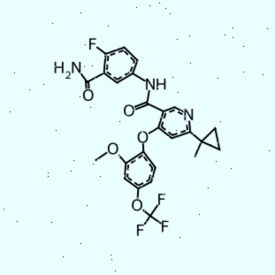 COc1cc(OC(F)(F)F)ccc1Oc1cc(C2(C)CC2)ncc1C(=O)Nc1ccc(F)c(C(N)=O)c1